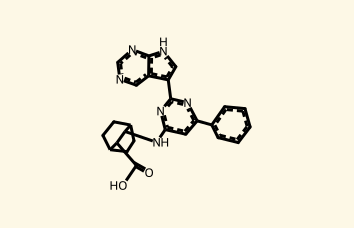 O=C(O)C1C2CCC(CC2)C1Nc1cc(-c2ccccc2)nc(-c2c[nH]c3ncncc23)n1